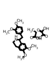 CCC(=O)O.COc1ccc(CC2NCCc3cc(OC)c(OC)cc32)cc1OC.O=C(O)C(=O)O